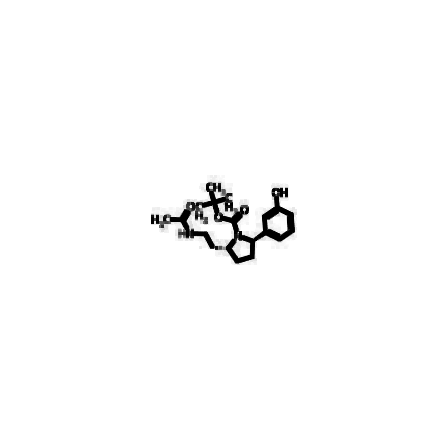 CC(=O)NCC[C@H]1CC[C@H](c2cccc(O)c2)N1C(=O)OC(C)(C)C